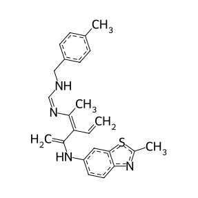 C=C/C(C(=C)Nc1ccc2nc(C)sc2c1)=C(C)/N=C\NCc1ccc(C)cc1